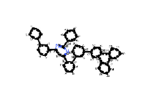 c1ccc(-c2cccc(-c3cc(-c4ccccc4-c4cccc(-c5ccc6c7ccccc7c7ccccc7c6c5)c4)nc(-c4ccccc4)n3)c2)cc1